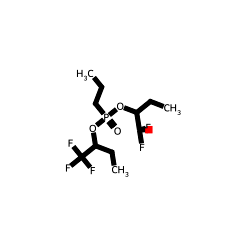 CCCP(=O)(OC(CC)C(F)(F)F)OC(CC)C(F)(F)F